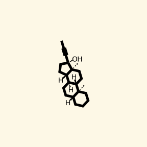 CC#C[C@]1(O)CC[C@H]2[C@@H]3CC[C@H]4CCCC[C@]4(C)[C@H]3CC[C@@]21C